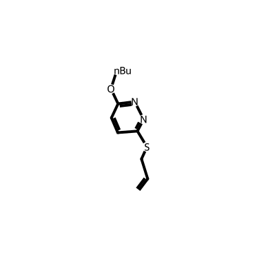 C=CCSc1ccc(OCCCC)nn1